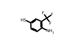 Nc1ccc(S)cc1C(F)(F)F